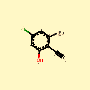 C#Cc1c(O)cc(Cl)cc1C(C)(C)C